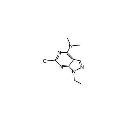 CCn1ncc2c(N(C)C)nc(Cl)nc21